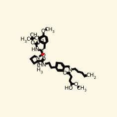 C=CCCCN(Cc1ccc(CCNC(=O)[C@]2(C)CCCN2C(=O)[C@H](Cc2ccc(OC)cc2)NC(=O)OC(C)(C)C)cc1)C(=O)CCC(O)OC